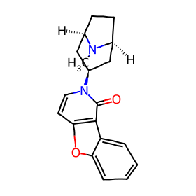 CN1[C@@H]2CC[C@H]1C[C@@H](n1ccc3oc4ccccc4c3c1=O)C2